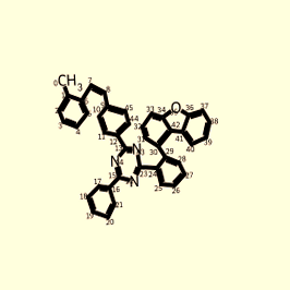 Cc1ccccc1/C=C\c1ccc(-c2nc(-c3ccccc3)nc(-c3ccccc3-c3cccc4oc5ccccc5c34)n2)cc1